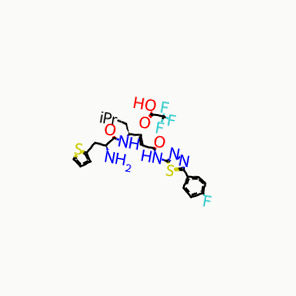 CC(C)C[C@@H](/C=C/C(=O)Nc1nnc(-c2ccc(F)cc2)s1)NC(=O)[C@@H](N)Cc1cccs1.O=C(O)C(F)(F)F